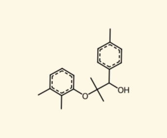 Cc1ccc(C(O)C(C)(C)Oc2cccc(C)c2C)cc1